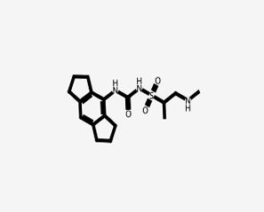 CNCC(C)S(=O)(=O)NC(=O)Nc1c2c(cc3c1CCC3)CCC2